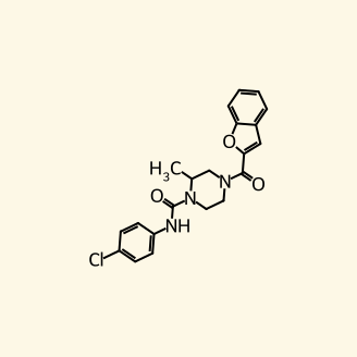 CC1CN(C(=O)c2cc3ccccc3o2)CCN1C(=O)Nc1ccc(Cl)cc1